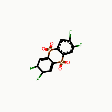 O=S1(=O)C2=CC(F)C(F)C=C2S(=O)(=O)c2cc(F)c(F)cc21